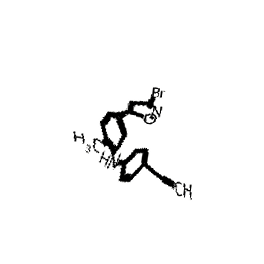 C#Cc1ccc(Nc2cc(C3CC(Br)=NO3)ccc2C)cc1